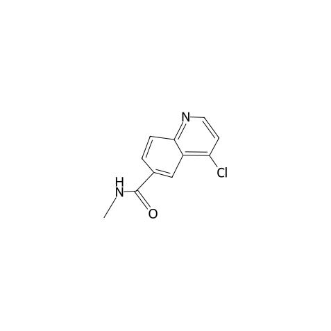 CNC(=O)c1ccc2nccc(Cl)c2c1